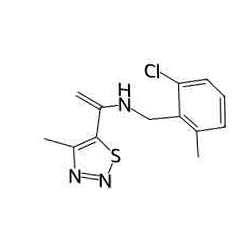 C=C(NCc1c(C)cccc1Cl)c1snnc1C